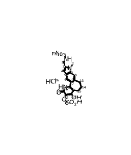 CCCCCCCCCNCc1cc2cc3c(cc2n1C)CCCc1c-3[nH]c(=O)c(OC(=O)O)c1O.Cl